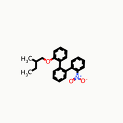 CCC(C)COc1ccccc1-c1ccccc1-c1ccccc1[N+](=O)[O-]